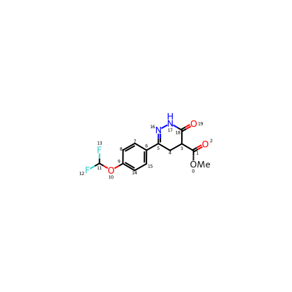 COC(=O)C1CC(c2ccc(OC(F)F)cc2)=NNC1=O